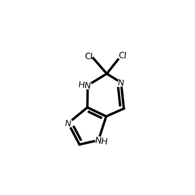 ClC1(Cl)N=Cc2[nH]cnc2N1